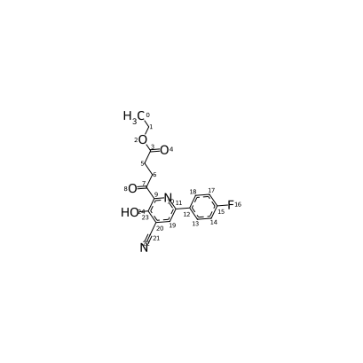 CCOC(=O)CCC(=O)c1nc(-c2ccc(F)cc2)cc(C#N)c1O